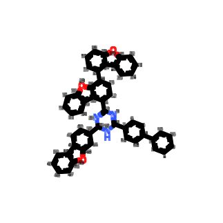 c1ccc(-c2ccc(C3=NC(c4ccc(-c5cccc6oc7ccccc7c56)c5oc6ccccc6c45)=NC(c4ccc5c(c4)oc4ccccc45)N3)cc2)cc1